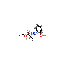 CCOC(=O)C(C)(Cl)/N=N/c1ccccc1OC